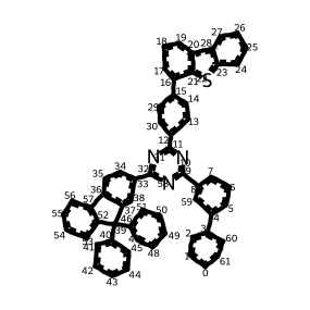 c1ccc(-c2cccc(-c3nc(-c4ccc(-c5cccc6c5sc5ccccc56)cc4)nc(-c4ccc5c(c4)C(c4ccccc4)(c4ccccc4)c4ccccc4-5)n3)c2)cc1